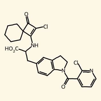 O=C(O)C(Cc1ccc2c(c1)CCN2C(=O)c1cccnc1Cl)NC1=C(Cl)C(=O)C12CCCCC2